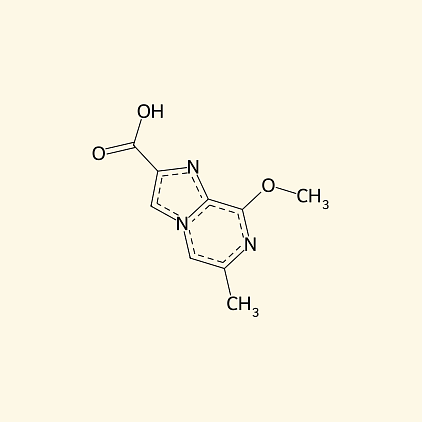 COc1nc(C)cn2cc(C(=O)O)nc12